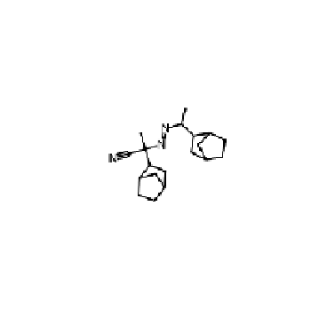 CC(N=NC(C)(C#N)C1CC2CCC1C2)C1CC2CCC1C2